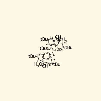 CC(C)(C)c1ccc2c(c1)C(C)(C)c1cc(C(C)(C)C)cc(-c3ccc(-c4cc(C(C)(C)C)cc5c4-c4ccc(C(C)(C)C)cc4C5(C)C)c(C(C)(C)C)c3)c1-2